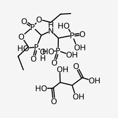 CCCOP(=O)(OCCC)C(NC(P(=O)(O)O)P(=O)(O)O)P(=O)(O)O.O=C(O)C(O)C(O)C(=O)O